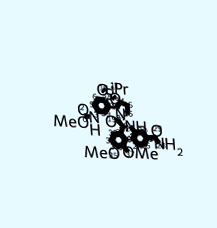 COC(=O)Nc1ccc(S(=O)(=O)C(C)C)c([C@H]2CCCN2C(=O)[C@@H](Nc2cccc(C(N)=O)c2)c2ccc(OC)c(OC)c2)c1